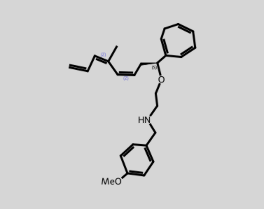 C=C/C=C(C)\C=C/C[C@H](OCCNCc1ccc(OC)cc1)C1=CCC=CC=C1